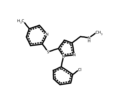 CNCc1cc(Sc2ccc(C)cn2)n(-c2ccccc2Cl)n1